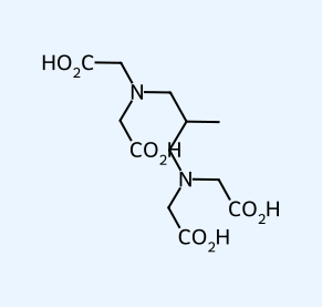 CC(CN(CC(=O)O)CC(=O)O)CN(CC(=O)O)CC(=O)O